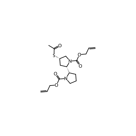 C=CCOC(=O)N1CCCC1[C@@H]1C[C@H](SC(C)=O)CN1C(=O)OCC=C